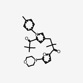 Cc1ccc(-n2cc(CC(C)(C)C(=O)c3ccc(N4CCOCC4)o3)cc2C(=O)C(C)(C)C)cc1